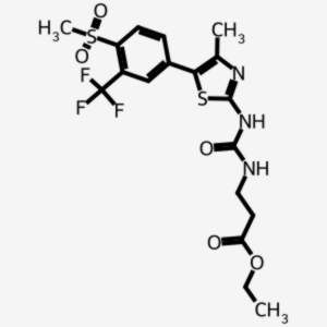 CCOC(=O)CCNC(=O)Nc1nc(C)c(-c2ccc(S(C)(=O)=O)c(C(F)(F)F)c2)s1